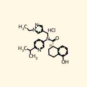 CCn1cc(CN(C(=O)[C@H]2CCCc3c(O)cccc32)c2ccc(C(C)C)nc2)cn1.Cl